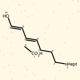 CC(=O)O.CCCCCCCCCCC=CC=CO